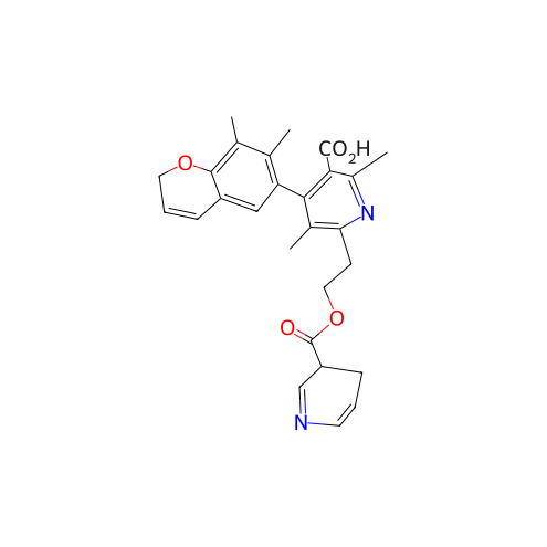 Cc1nc(CCOC(=O)C2C=NC=CC2)c(C)c(-c2cc3c(c(C)c2C)OCC=C3)c1C(=O)O